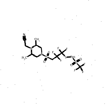 CC1CN(S(=O)(=O)CC(F)(F)C(F)(F)SNS(=O)(=O)C(F)(F)F)CC(C)N1CC#N